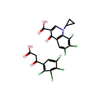 O=C(O)CC(=O)c1cc(F)c(F)c(F)c1F.O=C(O)c1cn(C2CC2)c2c(F)c(F)c(F)cc2c1=O